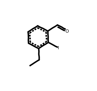 CCc1cccc(C=O)c1I